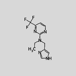 CCN(Cc1c[nH]cn1)c1nccc(C(F)(F)F)n1